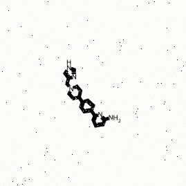 Nc1cccc(-c2ccc(C3CCN(Cc4c[nH]cn4)CC3)cc2)n1